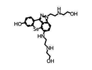 OCCNCCNc1ccc2c3c(nn2CCNCCO)-c2ccc(O)cc2[Se]c13